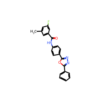 Cc1cc(F)cc(C(=O)Nc2ccc(-c3nnc(-c4ccccc4)o3)cc2)c1